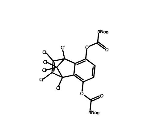 CCCCCCCCCC(=O)Oc1ccc(OC(=O)CCCCCCCCC)c2c1C1(Cl)C(Cl)=C(Cl)C2(Cl)C1(Cl)Cl